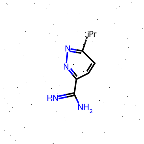 CC(C)c1ccc(C(=N)N)nn1